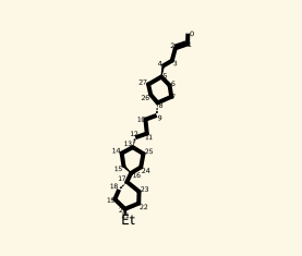 CC=CCC[C@H]1CC[C@H](CCCC[C@H]2CC[C@H]([C@H]3CC[C@H](CC)CC3)CC2)CC1